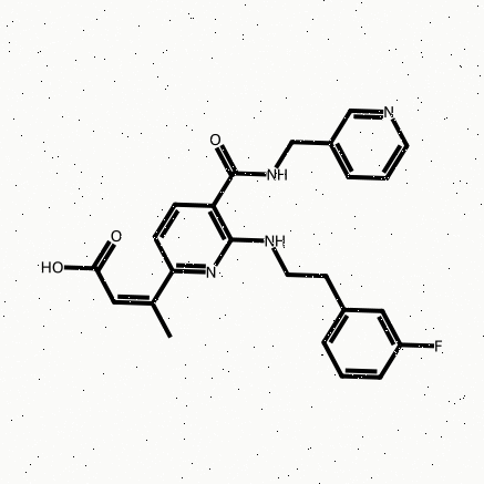 C/C(=C/C(=O)O)c1ccc(C(=O)NCc2cccnc2)c(NCCc2cccc(F)c2)n1